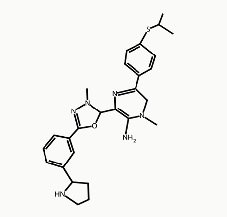 CC(C)Sc1ccc(C2=NC(C3OC(c4cccc(C5CCCN5)c4)=NN3C)=C(N)N(C)C2)cc1